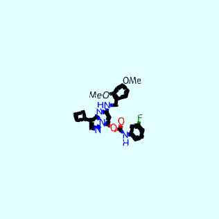 COc1ccc(CNc2cc(OC(=O)Nc3cccc(F)c3)n3ncc(C4CCC4)c3n2)c(OC)c1